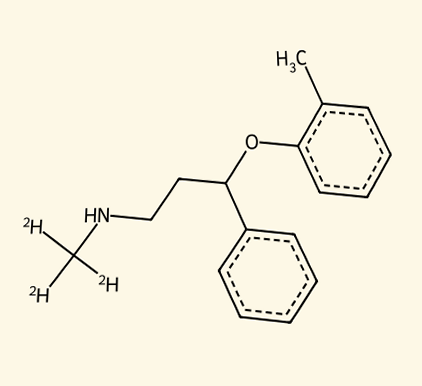 [2H]C([2H])([2H])NCCC(Oc1ccccc1C)c1ccccc1